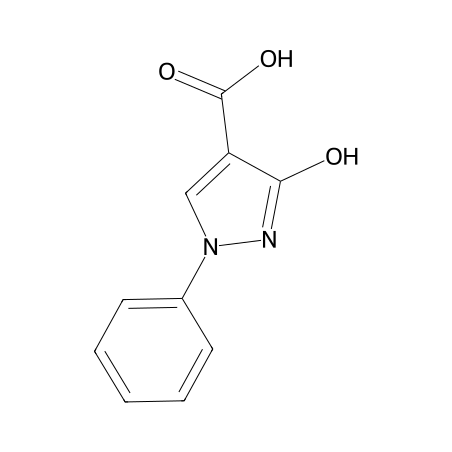 O=C(O)c1cn(-c2ccccc2)nc1O